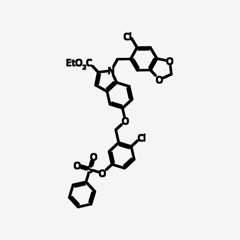 CCOC(=O)c1cc2cc(OCc3cc(OS(=O)(=O)c4ccccc4)ccc3Cl)ccc2n1Cc1cc2c(cc1Cl)OCO2